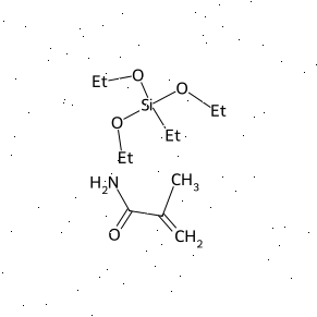 C=C(C)C(N)=O.CCO[Si](CC)(OCC)OCC